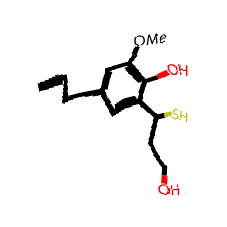 C=CCc1cc(OC)c(O)c(C(S)CCO)c1